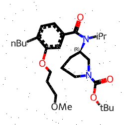 CCCCc1ccc(C(=O)N(C(C)C)[C@@H]2CCCN(C(=O)OC(C)(C)C)C2)cc1OCCCOC